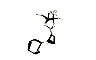 CC1(C)OB([C@H]2C[C@@H]2c2ccccc2)OC1(C)C